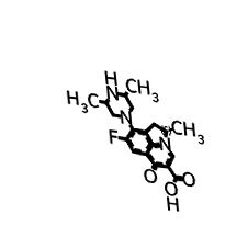 CC1CN(c2c(F)cc3c(=O)c(C(=O)O)cn4c3c2C[C@@H]4C)CC(C)N1